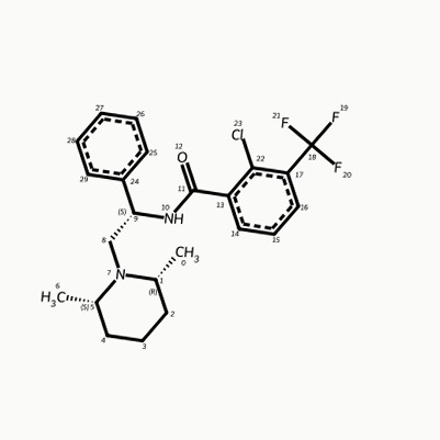 C[C@@H]1CCC[C@H](C)N1C[C@@H](NC(=O)c1cccc(C(F)(F)F)c1Cl)c1ccccc1